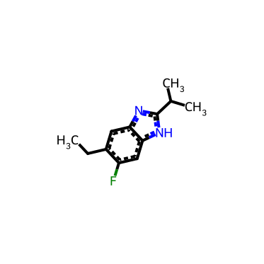 CCc1cc2nc(C(C)C)[nH]c2cc1F